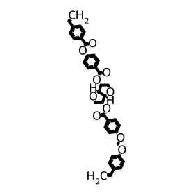 C=Cc1ccc(OCOc2ccc(C(=O)O[C@@H]3CO[C@@H]4[C@H]3OC[C@H]4OC(=O)c3ccc(OC(=O)c4ccc(C=C)cc4)cc3)cc2)cc1